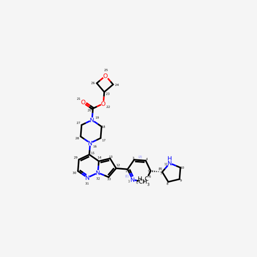 C/N=C(\C=C/C(C)[C@H]1CCCN1)c1cc2c(N3CCN(C(=O)OC4COC4)CC3)ccnn2c1